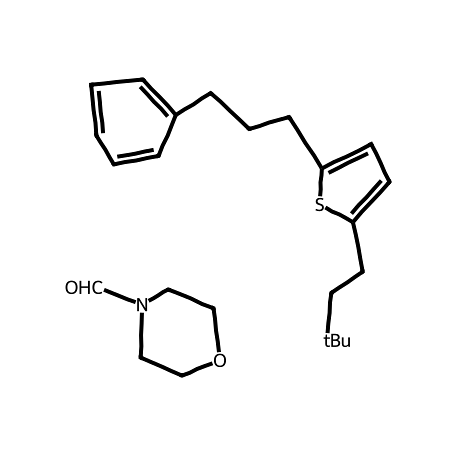 CC(C)(C)CCc1ccc(CCCc2ccccc2)s1.O=CN1CCOCC1